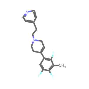 Cc1c(F)c(F)cc(C2=CCN(CCc3ccncc3)CC2)c1F